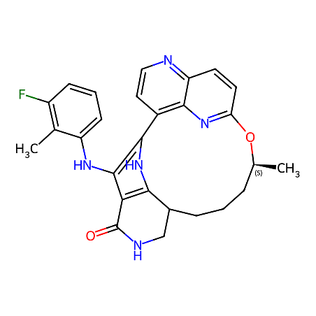 Cc1c(F)cccc1Nc1c2[nH]c3c1C(=O)NCC3CCC[C@H](C)Oc1ccc3nccc-2c3n1